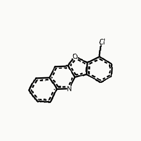 Clc1cccc2c1oc1cc3ccccc3nc12